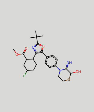 COC(=O)C1CC(F)CCC1c1nc(C(C)(C)C)oc1-c1ccc(N2CCSC(O)C2=N)cc1